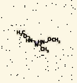 COCN/C=N/C(C)NCOC